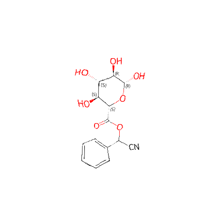 N#CC(OC(=O)[C@H]1O[C@@H](O)[C@H](O)[C@@H](O)[C@@H]1O)c1ccccc1